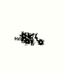 CC1=C(c2nc(CN(C)CCCc3ccccc3)no2)C(c2cccc([N+](=O)[O-])c2)=C(C(=O)O)C(C)N1C